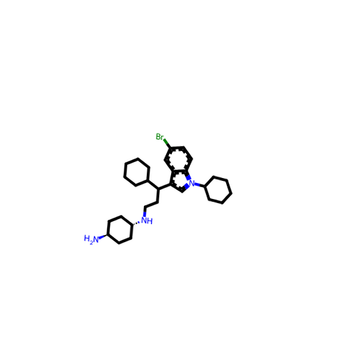 N[C@H]1CC[C@H](NCCC(c2cn(C3CCCCC3)c3ccc(Br)cc23)C2CCCCC2)CC1